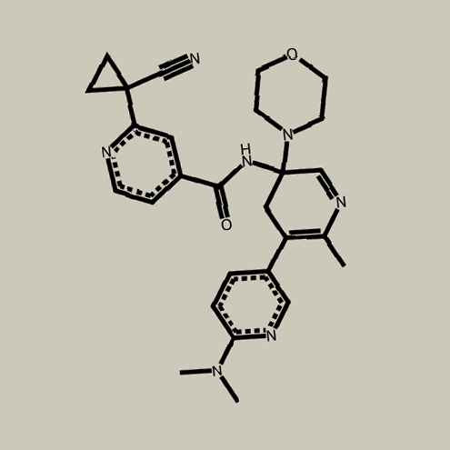 CC1=C(c2ccc(N(C)C)nc2)CC(NC(=O)c2ccnc(C3(C#N)CC3)c2)(N2CCOCC2)C=N1